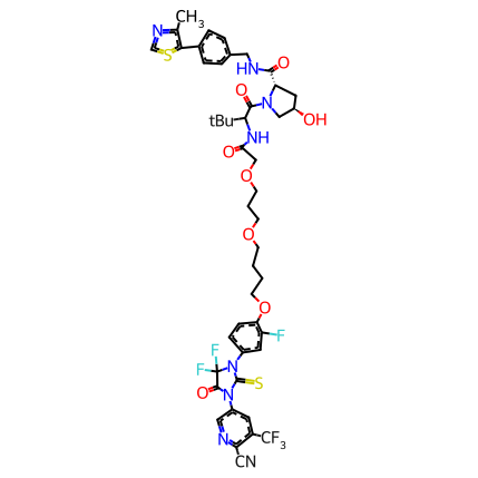 Cc1ncsc1-c1ccc(CNC(=O)[C@@H]2C[C@@H](O)CN2C(=O)C(NC(=O)COCCCOCCCCOc2ccc(N3C(=S)N(c4cnc(C#N)c(C(F)(F)F)c4)C(=O)C3(F)F)cc2F)C(C)(C)C)cc1